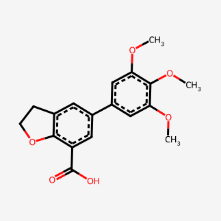 COc1cc(-c2cc3c(c(C(=O)O)c2)OCC3)cc(OC)c1OC